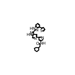 O=C(CC1CCCCC1)Nc1cncc(-c2cc3c(-c4nc5c(-c6cccs6)cccc5[nH]4)n[nH]c3cn2)c1